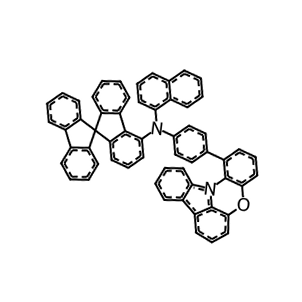 c1ccc2c(c1)-c1ccccc1C21c2ccccc2-c2c(N(c3ccc(-c4cccc5c4-n4c6ccccc6c6cccc(c64)O5)cc3)c3cccc4ccccc34)cccc21